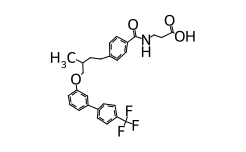 CC(CCc1ccc(C(=O)NCCC(=O)O)cc1)COc1cccc(-c2ccc(C(F)(F)F)cc2)c1